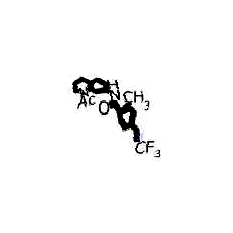 CC(=O)N1CCCc2ccc(NC(=O)c3ccc(/C=C/C(F)(F)F)cc3C)cc21